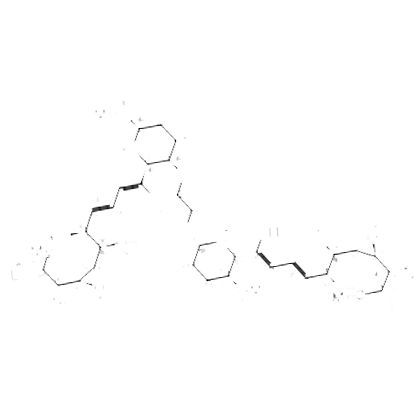 CC[C@H](OC)[C@@H](C)[C@@H]1O[C@H]1[C@H](O)[C@@H](C)/C=C/C=C(\C)[C@H]1O[C@@H](OCCO[C@@H]2CC[C@H](OC)O[C@@H]2/C(C)=C/C=C/[C@H](C)[C@@H](O)[C@@H]2O[C@H]2[C@H](C)[C@H](CC)OC)CC[C@@H]1OC